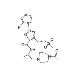 CC(=O)N1CCN(CC(C)NC(=O)c2oc(-c3ccccc3F)nc2CCS(C)(=O)=O)CC1